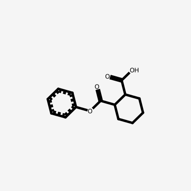 O=C(O)C1CCCCC1C(=O)Oc1ccccc1